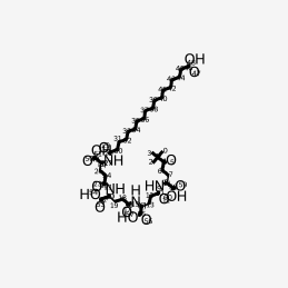 CC(C)(C)C(=O)CC[C@H](NC(=O)CC[C@H](NC(=O)CC[C@H](NC(=O)CC[C@H](NC(=O)CCCCCCCCCCCCCCCCC(=O)O)C(=O)O)C(=O)O)C(=O)O)C(=O)O